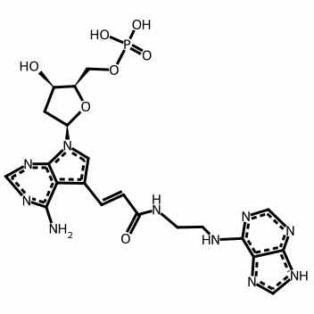 Nc1ncnc2c1c(/C=C/C(=O)NCCNc1ncnc3[nH]cnc13)cn2[C@H]1C[C@@H](O)[C@@H](COP(=O)(O)O)O1